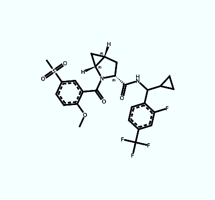 COc1ccc(S(C)(=O)=O)cc1C(=O)N1[C@@H](C(=O)NC(c2ccc(C(F)(F)F)cc2F)C2CC2)C[C@H]2C[C@H]21